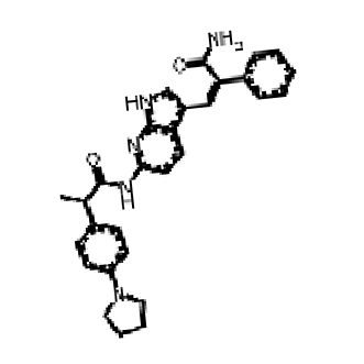 CC(C(=O)Nc1ccc2c(/C=C(\C(N)=O)c3ccccc3)c[nH]c2n1)c1ccc(N2CCCC2)cc1